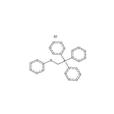 [Cl-].c1ccc(SC[P+](c2ccccc2)(c2ccccc2)c2ccccc2)cc1